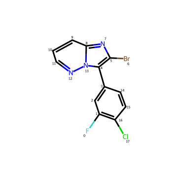 Fc1cc(-c2c(Br)nc3cccnn23)ccc1Cl